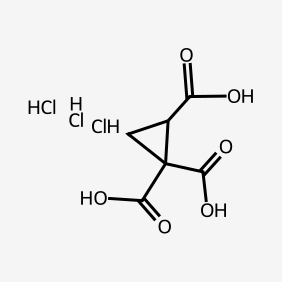 Cl.Cl.Cl.O=C(O)C1CC1(C(=O)O)C(=O)O